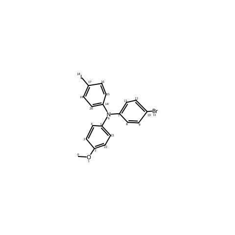 COc1ccc(N(c2ccc(Br)cc2)c2ccc(I)cc2)cc1